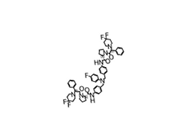 O=C(Nc1ccc(CN(Cc2ccc(NC(=O)[C@@H]3CCCN3C(=O)[C@@H](c3ccccc3)N3CCC(F)(F)CC3)cc2)c2ccc(F)cc2)cc1)[C@@H]1CCCN1C(=O)[C@H](c1ccccc1)N1CCC(F)(F)CC1